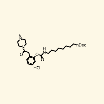 CCCCCCCCCCCCCCCCCCNC(=O)Oc1ccccc1CC(=O)N1CCN(C)CC1.Cl